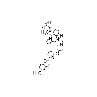 CCn1cncc1Cn1c(CN2CCC(Oc3cccc(COc4ccc(C)cc4F)n3)CC2)nc2ccc(/C(C)=C/C(=O)O)cc21